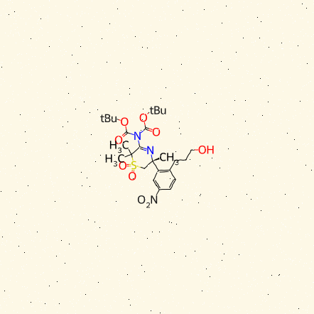 CC(C)(C)OC(=O)N(C(=O)OC(C)(C)C)C1=N[C@](C)(c2cc([N+](=O)[O-])ccc2CCCO)CS(=O)(=O)C1(C)C